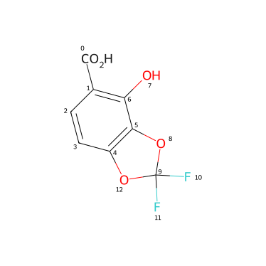 O=C(O)c1ccc2c(c1O)OC(F)(F)O2